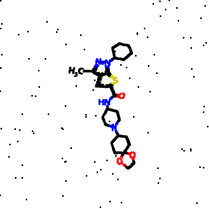 Cc1nn(C2CCCCC2)c2sc(C(=O)NC3CCN(C4CCC5(CC4)OCCO5)CC3)cc12